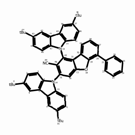 CC(C)(C)c1ccc2c(c1)c1cc(C(C)(C)C)ccc1n2-c1cc2oc3c(-c4ccccc4)cccc3c2c(-n2c3ccc(C(C)(C)C)cc3c3cc(C(C)(C)C)ccc32)c1C#N